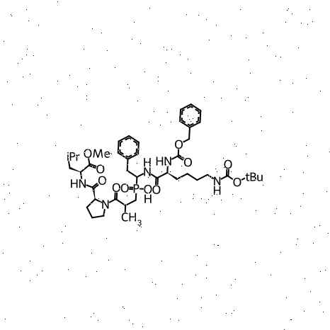 COC(=O)[C@H](CC(C)C)NC(=O)[C@@H]1CCCN1C(=O)C(C)CP(=O)(O)C(Cc1ccccc1)NC(=O)[C@H](CCCCNC(=O)OC(C)(C)C)NC(=O)OCc1ccccc1